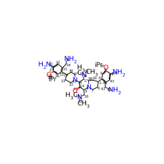 CC(C)Oc1cc(C2CCN(C(CN(C)C)C(=O)C(CN(C)C)N3CCC(c4cc(OC(C)C)c(N)cc4CN)CC3)CC2)c(CN)cc1N